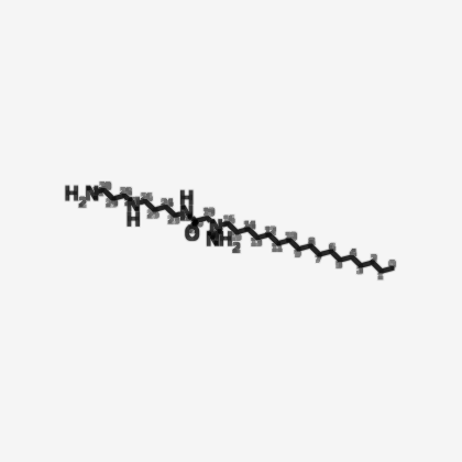 CCCCCCCCCCCCCCCCCN(N)CC(=O)NCCCCNCCCN